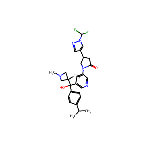 CC(C)c1ccc(C(O)(c2cncc(N3CC(c4cnn(C(F)F)c4)CC3=O)c2)C2(C)CN(C)C2)cc1